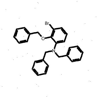 Brc1cccc(N(Cc2ccccc2)Cc2ccccc2)c1OCc1ccccc1